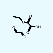 CCOC(=O)C(=O)O.O=CC=O